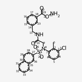 Cc1c(Cl)cccc1N(CC(=O)NCc1cccc(C(=O)ON)c1)S(=O)(=O)c1ccc2ccccc2c1